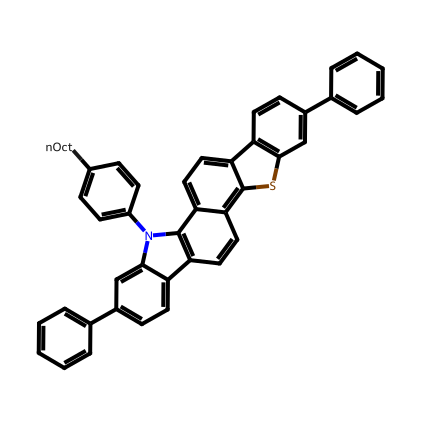 CCCCCCCCc1ccc(-n2c3cc(-c4ccccc4)ccc3c3ccc4c(ccc5c6ccc(-c7ccccc7)cc6sc54)c32)cc1